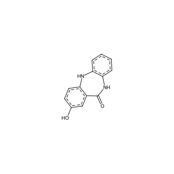 O=C1Nc2ccccc2Nc2ccc(O)cc21